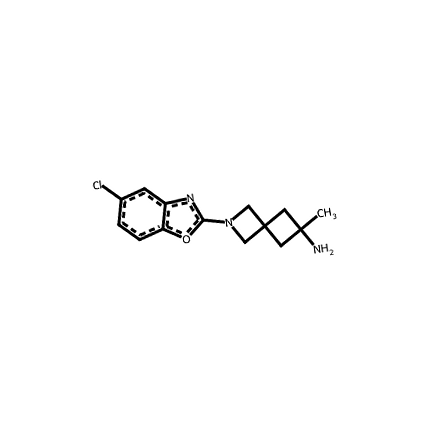 CC1(N)CC2(CN(c3nc4cc(Cl)ccc4o3)C2)C1